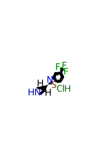 Cl.FC(F)(F)c1ccc2sc([C@@H]3[C@@H]4CNC[C@@H]43)nc2c1